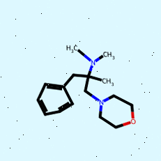 CN(C)C(C)(Cc1ccccc1)CN1CCOCC1